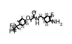 CC(C)(c1ccc(OCC(=O)NCc2ccc(N)c(F)c2)cc1)C(F)(F)F